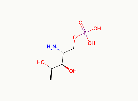 C[C@@H](O)[C@H](O)[C@H](N)COP(=O)(O)O